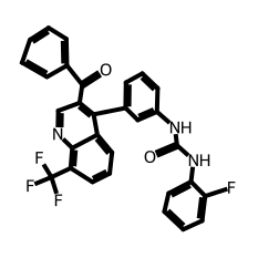 O=C(Nc1cccc(-c2c(C(=O)c3ccccc3)cnc3c(C(F)(F)F)cccc23)c1)Nc1ccccc1F